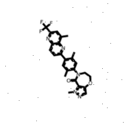 Cc1cc(N2CCOc3cnn(C)c3C2=O)c(C)cc1-c1ccc2nc(C(F)(F)F)cc(C)c2n1